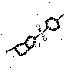 Cc1ccc(S(=O)(=O)c2cc3cc(F)ccc3[nH]2)cc1